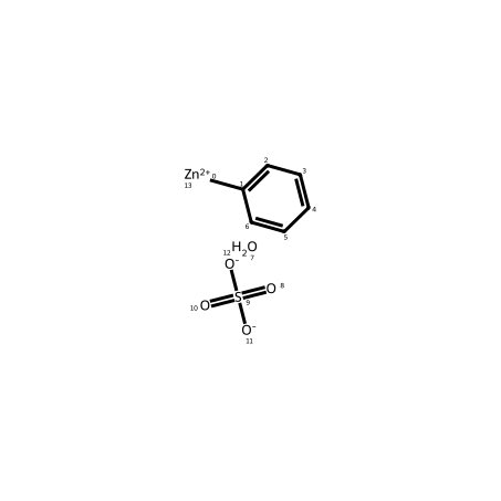 Cc1ccccc1.O.O=S(=O)([O-])[O-].[Zn+2]